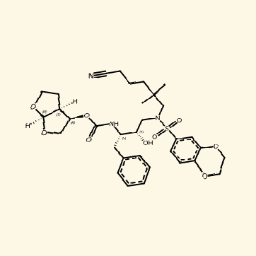 CC(C)(CCCC#N)CN(C[C@H](O)[C@H](Cc1ccccc1)NC(=O)O[C@H]1CO[C@H]2OCC[C@H]21)S(=O)(=O)c1ccc2c(c1)OCCO2